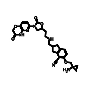 N#Cc1c(OCC2(N)CC2)ccc2c1CC(CNCCC1CN(c3ccc4c(n3)NC(=O)CO4)C(=O)O1)C2